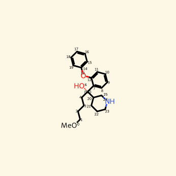 COCCCC[C@@](O)(c1ccccc1Oc1ccccc1)C1CCCNC1